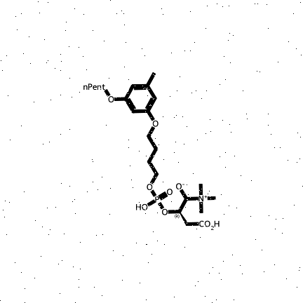 CCCCCOc1cc(C)cc(OCCCCOP(=O)(O)O[C@H](CC(=O)O)C([O-])[N+](C)(C)C)c1